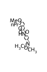 CCCc1c(OC)ccc2cc(C(=O)Nc3ccc(CN4C[C@@H](C)O[C@@H](C)C4)cc3)c(=O)oc12